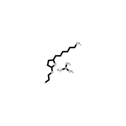 CCCCCCCC1CCC(OCCI)O1.CN(C)C